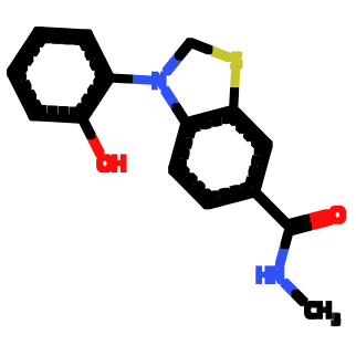 CNC(=O)c1ccc2c(c1)SCN2c1ccccc1O